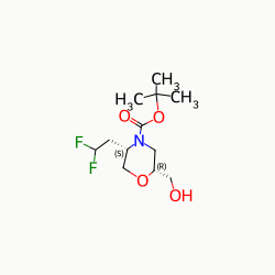 CC(C)(C)OC(=O)N1C[C@H](CO)OC[C@@H]1CC(F)F